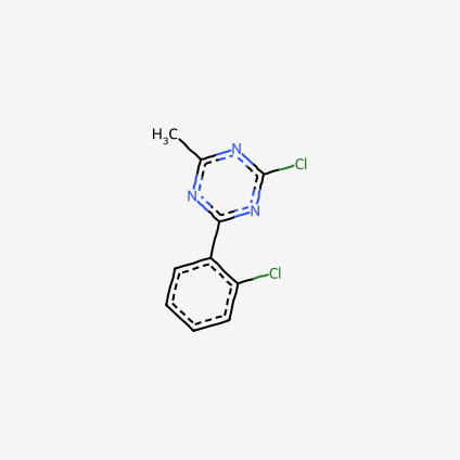 Cc1nc(Cl)nc(-c2ccccc2Cl)n1